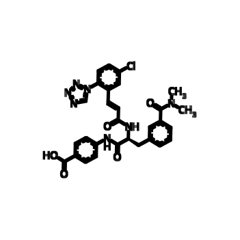 CN(C)C(=O)c1cccc(C[C@H](NC(=O)C=Cc2cc(Cl)ccc2-n2cnnn2)C(=O)Nc2ccc(C(=O)O)cc2)c1